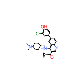 CN(C)[C@H]1CC[C@H](CNc2c(C(=O)C3CC3)cnc3ccc(-c4ccc(O)c(Cl)c4)cc23)CC1